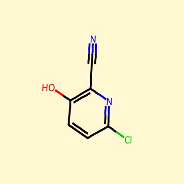 N#Cc1nc(Cl)ccc1O